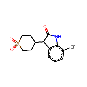 O=C1Nc2c(cccc2C(F)(F)F)C1C1CCS(=O)(=O)CC1